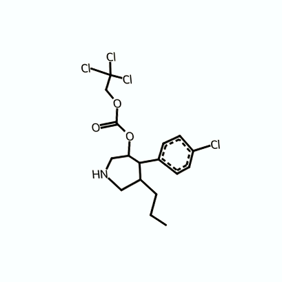 CCCC1CNCC(OC(=O)OCC(Cl)(Cl)Cl)C1c1ccc(Cl)cc1